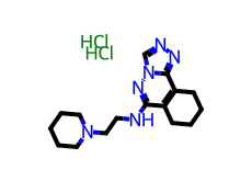 Cl.Cl.c1nnc2c3c(c(NCCN4CCCCC4)nn12)CCCC3